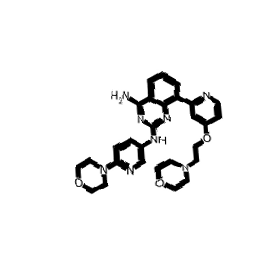 Nc1nc(Nc2ccc(N3CCOCC3)nc2)nc2c(-c3cc(OCCN4CCOCC4)ccn3)cccc12